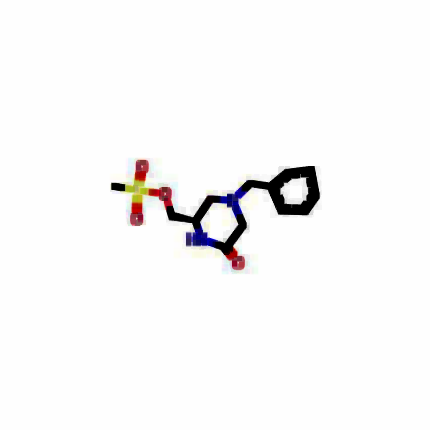 CS(=O)(=O)OC[C@H]1CN(Cc2ccccc2)CC(=O)N1